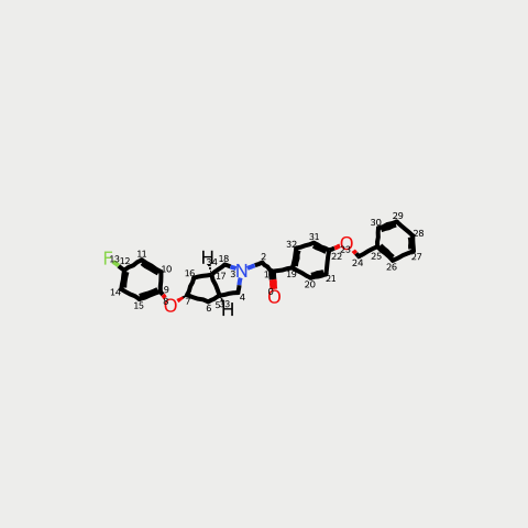 O=C(CN1C[C@H]2C[C@@H](Oc3ccc(F)cc3)C[C@H]2C1)c1ccc(OCc2ccccc2)cc1